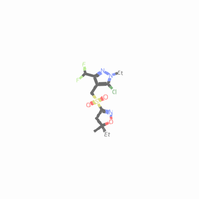 CCn1nc(C(F)F)c(CS(=O)(=O)C2=NOC(C)(CC)C2)c1Cl